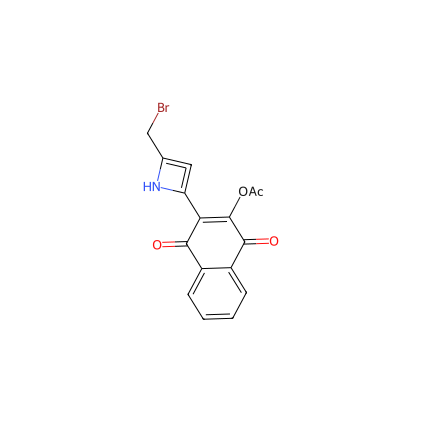 CC(=O)OC1=C(C2=C=C(CBr)N2)C(=O)c2ccccc2C1=O